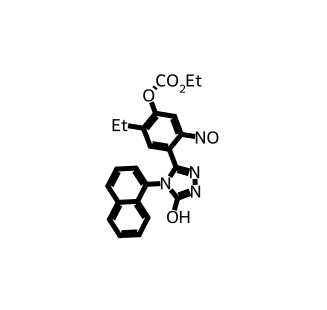 CCOC(=O)Oc1cc(N=O)c(-c2nnc(O)n2-c2cccc3ccccc23)cc1CC